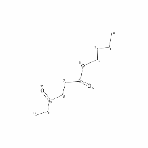 CCCCOC(=O)CCC(=O)CC